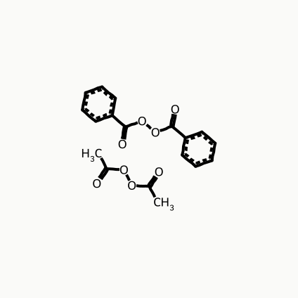 CC(=O)OOC(C)=O.O=C(OOC(=O)c1ccccc1)c1ccccc1